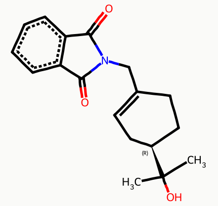 CC(C)(O)[C@H]1CC=C(CN2C(=O)c3ccccc3C2=O)CC1